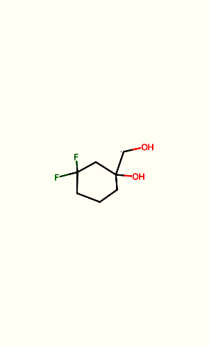 O[CH]C1(O)CCCC(F)(F)C1